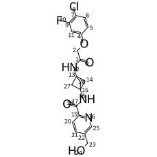 O=C(COc1ccc(Cl)c(F)c1)NC12CC(NC(=O)c3ccc(CO)cn3)(C1)C2